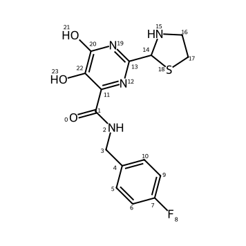 O=C(NCc1ccc(F)cc1)c1nc(C2NCCS2)nc(O)c1O